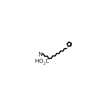 CN(C)CCCC(CCCCCCCCC[C@H]1C=CCC1)C(=O)O